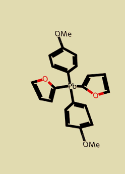 COc1cc[c]([Pb]([c]2ccc(OC)cc2)([c]2ccco2)[c]2ccco2)cc1